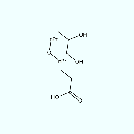 CC(O)CO.CCC(=O)O.CCCOCCC